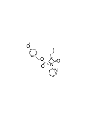 C=CC[C@H]1C(=O)N(c2ccccn2)[C@@H]1C(=O)OCc1ccc(OC)cc1